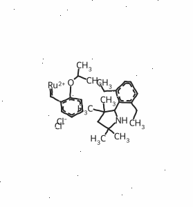 CC(C)Oc1ccccc1[CH]=[Ru+2].CCc1cccc(CC)c1C1NC(C)(C)CC1(C)C.[Cl-].[Cl-]